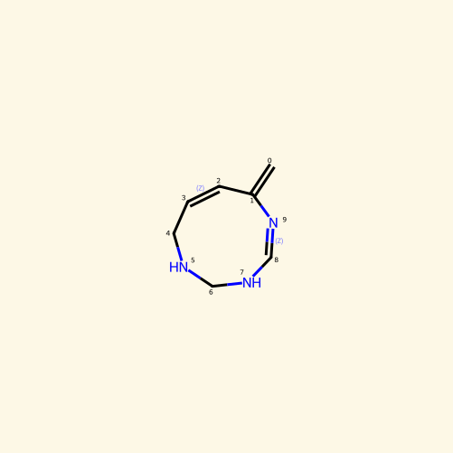 C=C1/C=C\CNCN/C=N\1